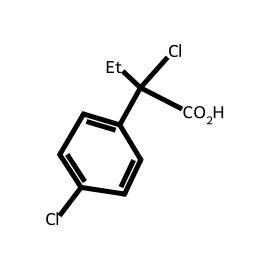 CCC(Cl)(C(=O)O)c1ccc(Cl)cc1